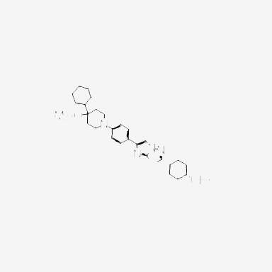 COC1(C2CCCCC2)CCN(c2ccc(-c3cn4nc([C@H]5CC[C@H](C=O)CC5)sc4n3)cc2)CC1